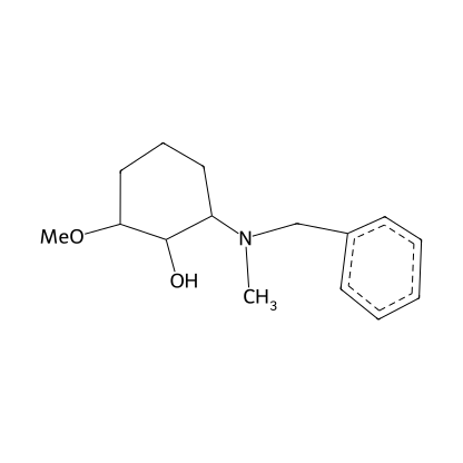 COC1CCCC(N(C)Cc2ccccc2)C1O